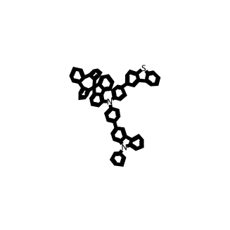 c1ccc(-n2c3ccccc3c3cc(-c4ccc(N(c5ccc(-c6ccc7sc8ccccc8c7c6)cc5)c5cccc6c5-c5ccccc5C65c6ccccc6-c6ccccc6-c6ccccc65)cc4)ccc32)cc1